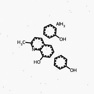 Cc1ccc2cccc(O)c2n1.Oc1ccccc1.Oc1ccccc1.[AlH3]